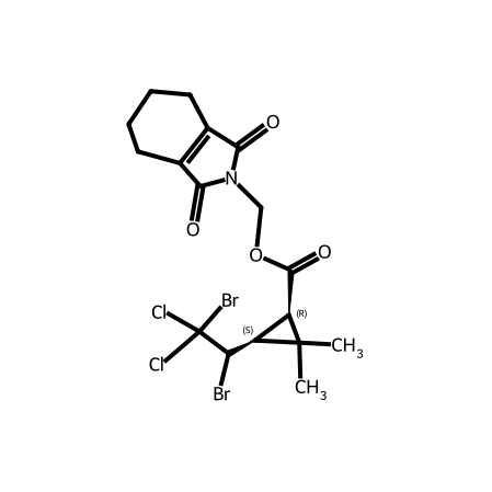 CC1(C)[C@H](C(=O)OCN2C(=O)C3=C(CCCC3)C2=O)[C@@H]1C(Br)C(Cl)(Cl)Br